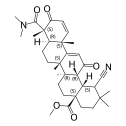 COC(=O)[C@]12CCC(C)(C)C(C#N)[C@H]1[C@H]1C(=O)C=C3[C@@]4(C)C=CC(=O)[C@@](C)(C(=O)N(C)C)[C@@H]4CC[C@@]3(C)[C@]1(C)CC2